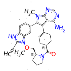 C#Cc1nc2cc(-c3c(C4=CC[C@H](C(=O)N5CCC[C@H]5COC)CC4)c4c(N)ncnc4n3C)ccc2[nH]1